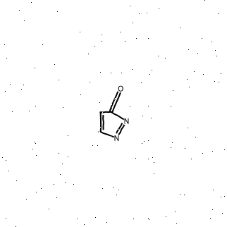 O=C1C=[C]N=N1